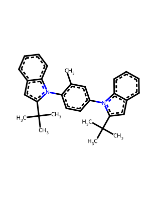 Cc1cc(-n2c(C(C)(C)C)cc3ccccc32)ccc1-n1c(C(C)(C)C)cc2ccccc21